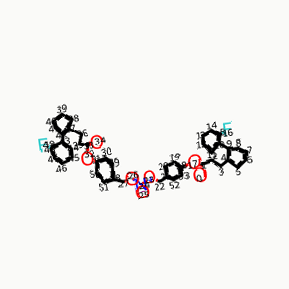 O=C(CCc1ccccc1-c1ccccc1F)Oc1ccc(CO[N+](=O)OCc2ccc(OC(=O)CCc3ccccc3-c3ccccc3F)cc2)cc1